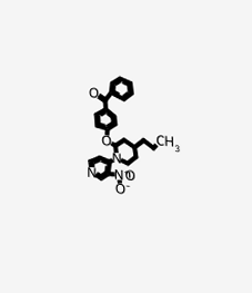 CCCC1CCN(c2ccncc2[N+](=O)[O-])C(Oc2ccc(C(=O)c3ccccc3)cc2)C1